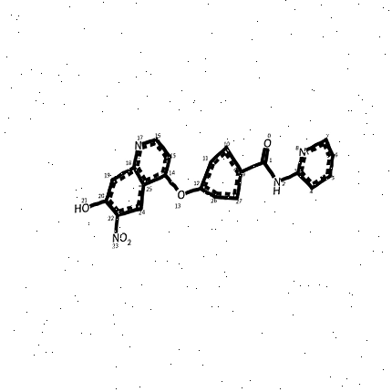 O=C(Nc1ccccn1)c1ccc(Oc2ccnc3cc(O)c([N+](=O)[O-])cc23)cc1